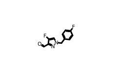 O=Cc1nn(Cc2ccc(F)cc2)cc1F